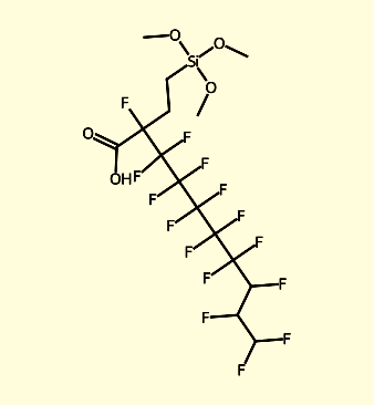 CO[Si](CCC(F)(C(=O)O)C(F)(F)C(F)(F)C(F)(F)C(F)(F)C(F)(F)C(F)C(F)C(F)F)(OC)OC